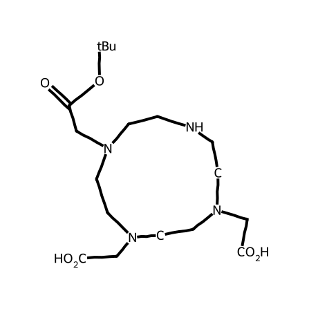 CC(C)(C)OC(=O)CN1CCNCCN(CC(=O)O)CCN(CC(=O)O)CC1